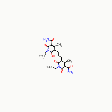 CC1=C(C(N)=O)C(=O)N(CC(=O)O)C(=O)/C1=C\C=Cc1c(C)c(C(N)=O)c(=O)n(CC(=O)O)c1O